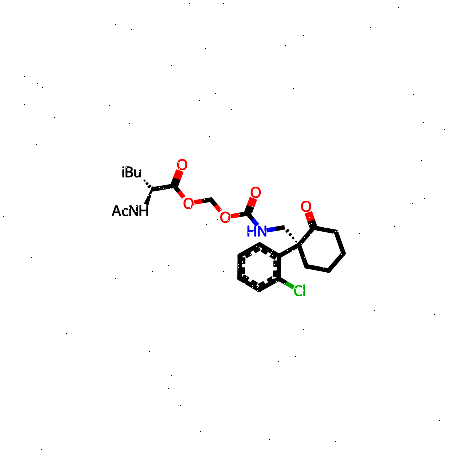 CC[C@@H](C)[C@H](NC(C)=O)C(=O)OCOC(=O)NC[C@@]1(c2ccccc2Cl)CCCCC1=O